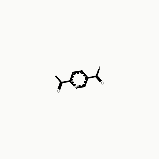 CC(=O)c1ccc(C(=O)I)cn1